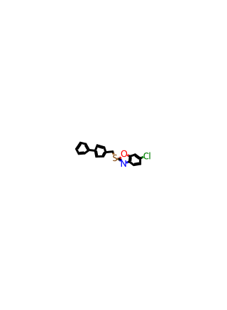 Clc1ccc2nc(SCc3ccc(-c4ccccc4)cc3)oc2c1